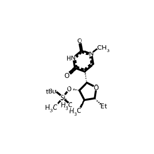 CC[C@H]1O[C@@H](c2cn(C)c(=O)[nH]c2=O)[C@@H](O[Si](C)(C)C(C)(C)C)C1C